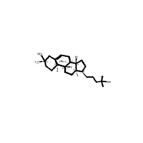 CC(C)(O)CCC[C@@H]1CC[C@H]2[C@@H]3CC=C4C[C@](O)(C(F)(F)F)CC[C@]4(C)[C@H]3CC[C@]12C